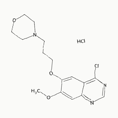 COc1cc2ncnc(Cl)c2cc1OCCCN1CCOCC1.Cl